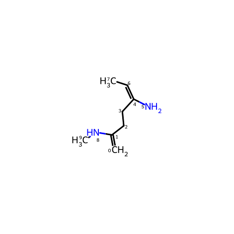 C=C(CC/C(N)=C\C)NC